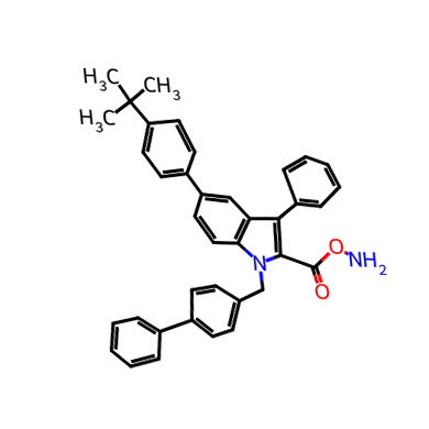 CC(C)(C)c1ccc(-c2ccc3c(c2)c(-c2ccccc2)c(C(=O)ON)n3Cc2ccc(-c3ccccc3)cc2)cc1